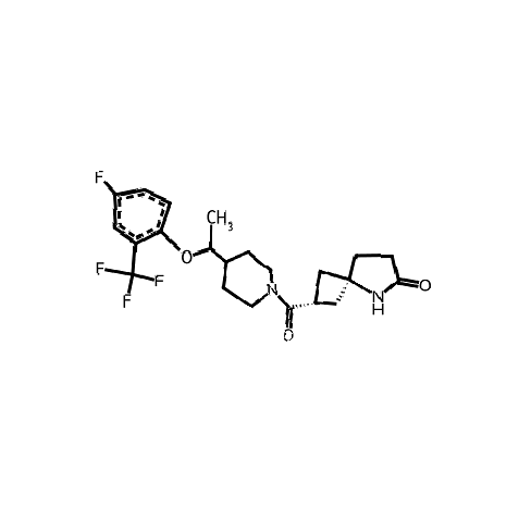 CC(Oc1ccc(F)cc1C(F)(F)F)C1CCN(C(=O)[C@H]2C[C@@]3(CCC(=O)N3)C2)CC1